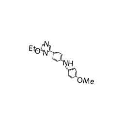 CCOc1cncc(-c2ccc(NCc3ccc(OC)cc3)cc2)n1